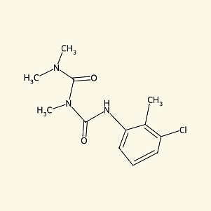 Cc1c(Cl)cccc1NC(=O)N(C)C(=O)N(C)C